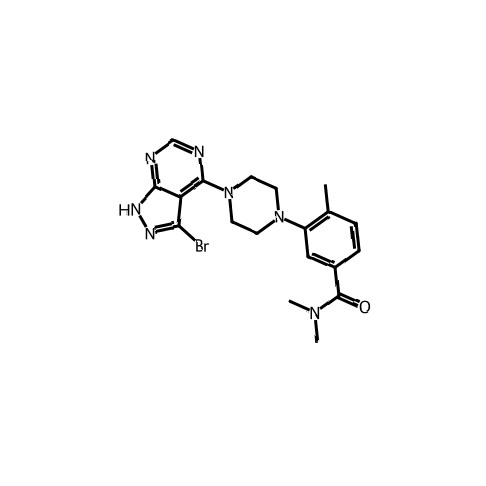 Cc1ccc(C(=O)N(C)C)cc1N1CCN(c2ncnc3[nH]nc(Br)c23)CC1